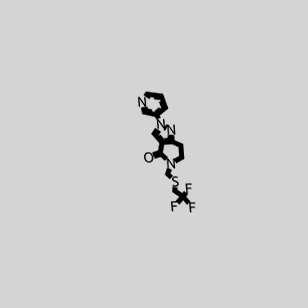 O=C1c2cn(-c3cccnc3)nc2CCN1CSCC(F)(F)F